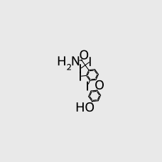 NC(=O)C(I)(I)c1ccc(Oc2ccc(O)cc2)c(I)c1I